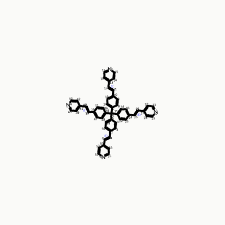 C(=C\c1ccc(C(c2ccc(/C=C/c3ccncc3)cc2)(c2ccc(/C=C/c3ccncc3)cc2)c2ccc(/C=C/c3ccncc3)cc2)cc1)/c1ccncc1